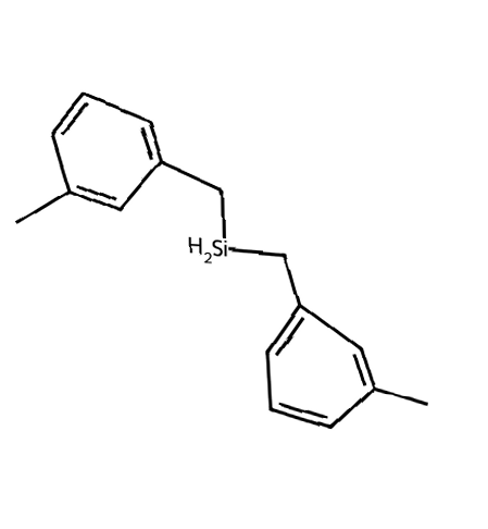 Cc1cccc(C[SiH2]Cc2cccc(C)c2)c1